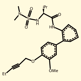 CCC#CCOc1ccc(-c2ccccc2NC(=O)[C@@H](NS(=O)(=O)N(C)C)C(C)C)cc1OC